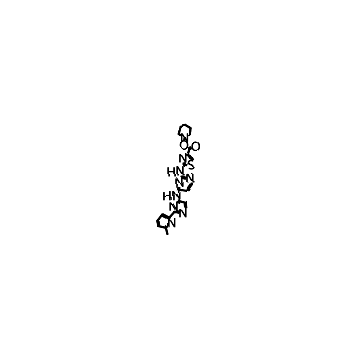 Cc1cccc(-c2nccc(Nc3ccnc(Nc4nc(C(=O)ON5CCCCC5)cs4)n3)n2)n1